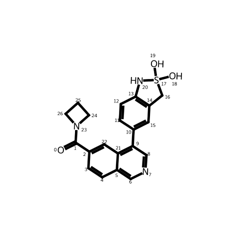 O=C(c1ccc2cncc(-c3ccc4c(c3)CS(O)(O)N4)c2c1)N1CCC1